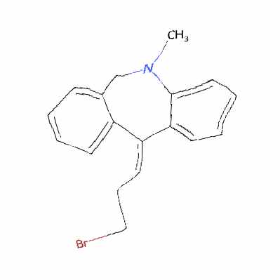 CN1Cc2ccccc2C(=CCCBr)c2ccccc21